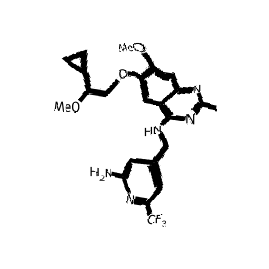 COc1cc2nc(C)nc(NCc3cc(N)nc(C(F)(F)F)c3)c2cc1OCC(OC)C1CC1